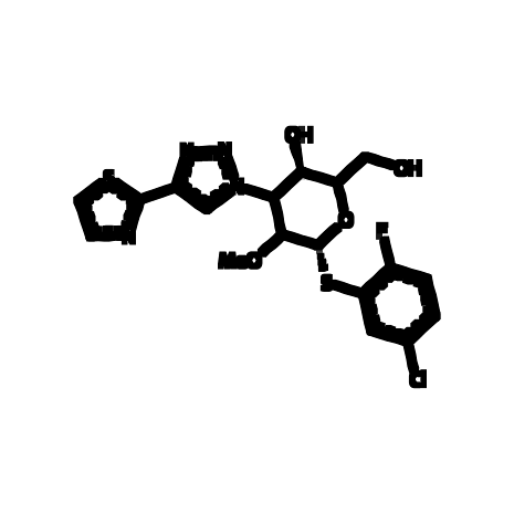 COC1C(n2cc(-c3nccs3)nn2)[C@@H](O)C(CO)O[C@@H]1Sc1cc(Cl)ccc1F